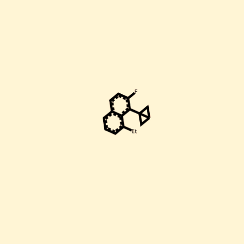 CCc1cccc2ccc(F)c(C34CC3C4)c12